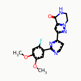 COc1cc(F)c(-c2nccc(-c3cc4n(n3)CCNC4=O)n2)cc1OC